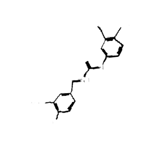 COc1cc(CNC(=O)Nc2ccc(C)c(Cl)c2)ccc1O